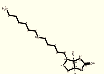 NCCCCCCNCCCCC[C@@H]1SC[C@@H]2NC(=O)N[C@@H]21